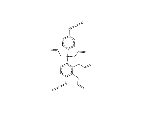 C=CCc1c(N=C=O)ccc(C(CC=C)(CC=C)c2ccc(N=C=O)cc2)c1CC=C